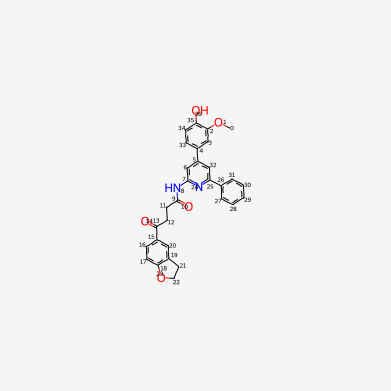 COc1cc(-c2cc(NC(=O)CCC(=O)c3ccc4c(c3)CCO4)nc(-c3ccccc3)c2)ccc1O